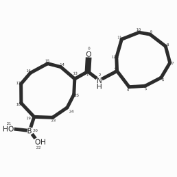 O=C(NC1CCCCCCCCC1)C1CCCCCC(B(O)O)CCC1